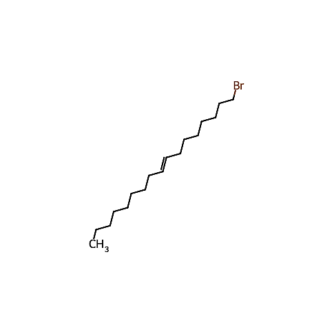 CCCCCCCCC=CCCCCCCCBr